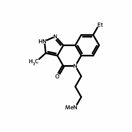 CCc1ccc2c(c1)c1n[nH]c(C)c1c(=O)n2CCCNC